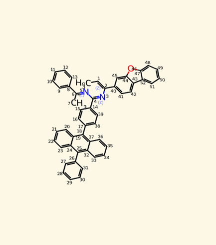 C\C=C(/N=C(\N=C(/C)c1ccccc1)c1ccc(-c2c3ccccc3c(-c3ccccc3)c3ccccc23)cc1)c1ccc2c(c1)oc1ccccc12